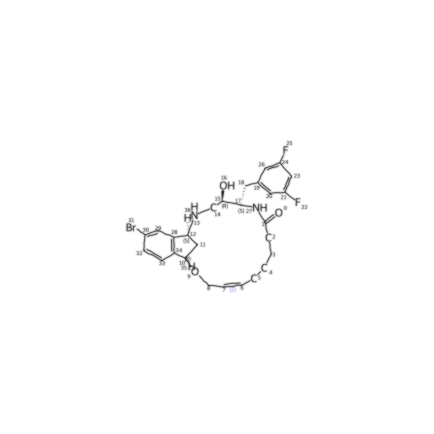 O=C1CCCC/C=C\CO[C@@H]2C[C@H](NC[C@@H](O)[C@H](Cc3cc(F)cc(F)c3)N1)c1cc(Br)ccc12